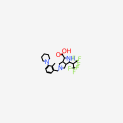 Cc1c(CN2CC3C(C(=O)O)NC(C(C(F)(F)F)C(F)(F)F)C3C2)cccc1N1CCCCC1